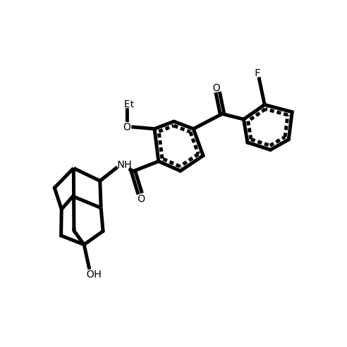 CCOc1cc(C(=O)c2ccccc2F)ccc1C(=O)NC1C2CC3CC1CC(O)(C3)C2